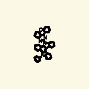 c1ccc(-n2c3ccccc3c3c4c5ccccc5n(-c5nc6c7c(cccc7n5)Oc5ccccc5-6)c4c4ccccc4c32)cc1